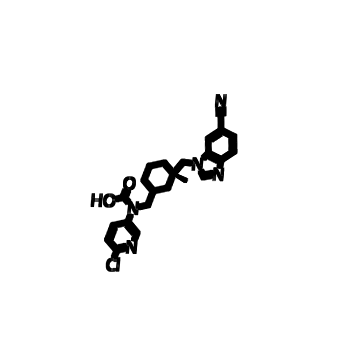 C[C@]1(Cn2cnc3ccc(C#N)cc32)CCCC(CN(C(=O)O)c2ccc(Cl)nc2)C1